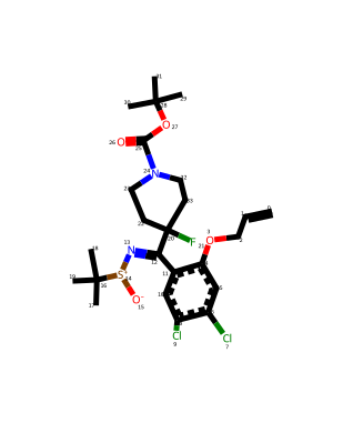 C=CCOc1cc(Cl)c(Cl)cc1C(=N[S+]([O-])C(C)(C)C)C1(F)CCN(C(=O)OC(C)(C)C)CC1